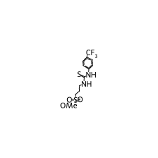 COS(=O)(=O)CCCNC(=S)Nc1ccc(C(F)(F)F)cc1